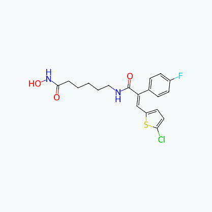 O=C(CCCCCNC(=O)/C(=C/c1ccc(Cl)s1)c1ccc(F)cc1)NO